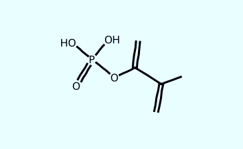 C=C(C)C(=C)OP(=O)(O)O